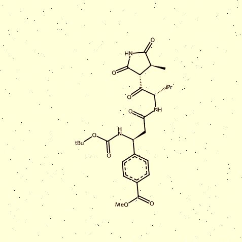 COC(=O)c1ccc([C@H](CC(=O)N[C@H](C(=O)[C@@H]2C(=O)NC(=O)[C@H]2C)C(C)C)NC(=O)OC(C)(C)C)cc1